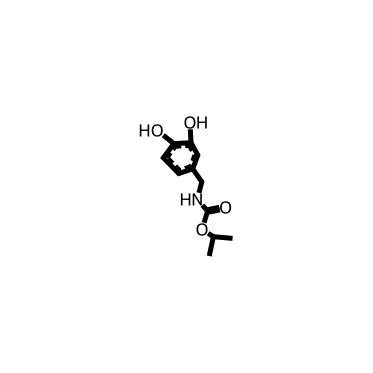 CC(C)OC(=O)NCc1ccc(O)c(O)c1